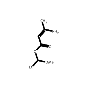 CCC(OC)OC(=O)C=C(C)N